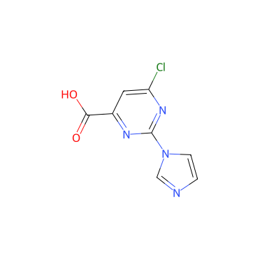 O=C(O)c1cc(Cl)nc(-n2ccnc2)n1